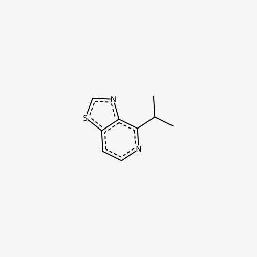 CC(C)c1nccc2scnc12